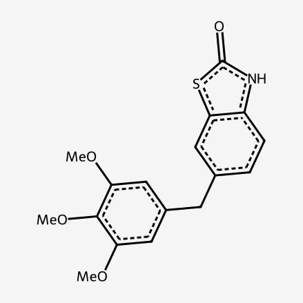 COc1cc(Cc2ccc3[nH]c(=O)sc3c2)cc(OC)c1OC